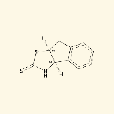 S=C1N[C@@H]2c3ccccc3C[C@@H]2S1